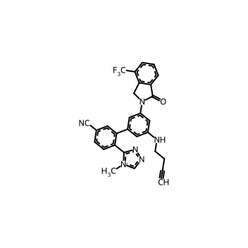 C#CCCNc1cc(-c2cc(C#N)ccc2-c2nncn2C)cc(N2Cc3c(cccc3C(F)(F)F)C2=O)c1